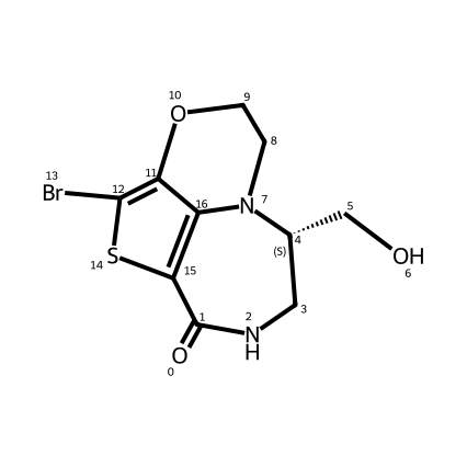 O=C1NC[C@@H](CO)N2CCOc3c(Br)sc1c32